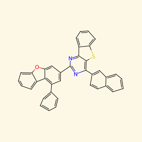 c1ccc(-c2cc(-c3nc(-c4ccc5ccccc5c4)c4sc5ccccc5c4n3)cc3oc4ccccc4c23)cc1